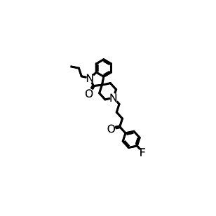 CCCN1C(=O)C2(CCN(CCCC(=O)c3ccc(F)cc3)CC2)c2ccccc21